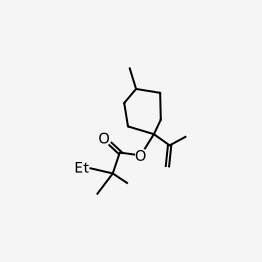 C=C(C)C1(OC(=O)C(C)(C)CC)CCC(C)CC1